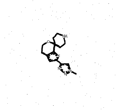 Cn1cc(-c2cc3c(s2)C2(CCNCC2)OCC3)nn1